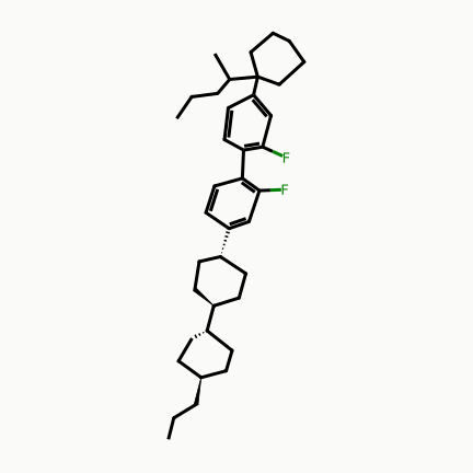 CCCC(C)C1(c2ccc(-c3ccc([C@H]4CC[C@H]([C@H]5CC[C@H](CCC)CC5)CC4)cc3F)c(F)c2)CCCCC1